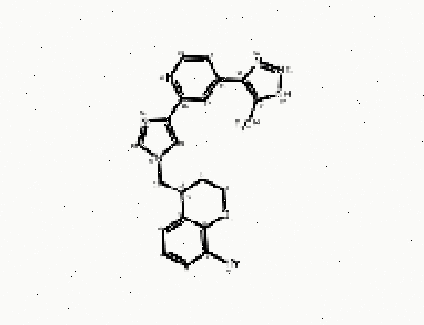 CC(C)c1cccc2c1OCC[C@@H]2Cn1cnc(-c2cc(-c3nn[nH]c3C(F)(F)F)ccn2)c1